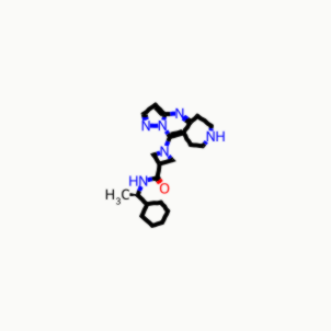 C[C@@H](NC(=O)C1CN(c2c3c(nc4ccnn24)CCNCC3)C1)C1CCCCC1